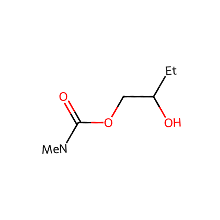 CCC(O)COC(=O)NC